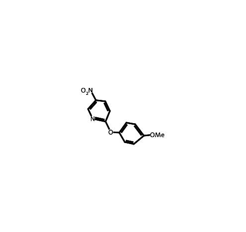 COc1ccc(Oc2ccc([N+](=O)[O-])cn2)cc1